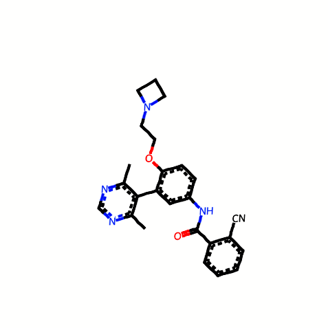 Cc1ncnc(C)c1-c1cc(NC(=O)c2ccccc2C#N)ccc1OCCN1CCC1